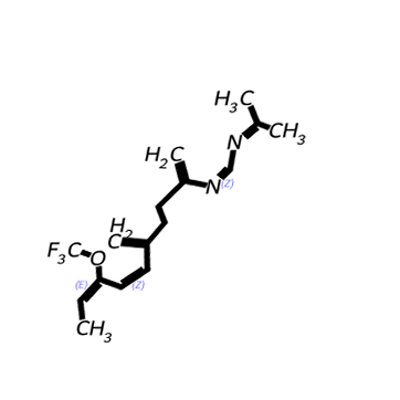 C=C(/C=C\C(=C/C)OC(F)(F)F)CCC(=C)/N=C\N=C(C)C